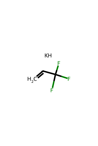 C=[C]C(F)(F)F.[KH]